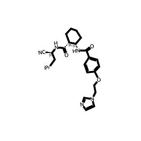 CC(C)C[C@@H](C#N)NC(=O)[C@@H]1CCCC[C@@H]1NC(=O)c1ccc(OCCn2ccnc2)cc1